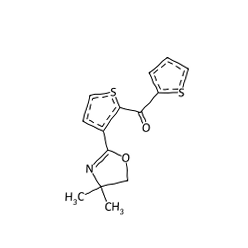 CC1(C)COC(c2ccsc2C(=O)c2cccs2)=N1